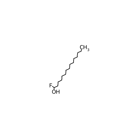 CCCCCCCCCCCCCCC(O)F